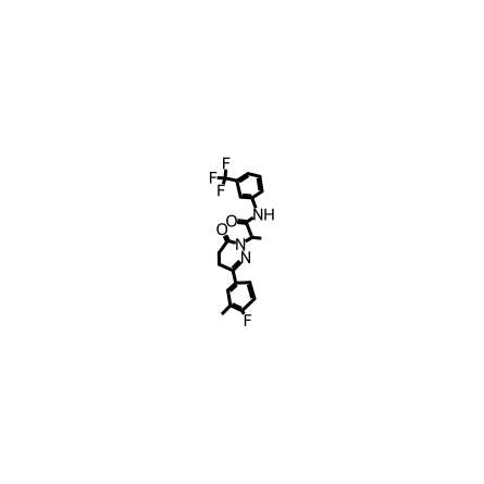 Cc1cc(C2=NN(C(C)C(=O)Nc3cccc(C(F)(F)F)c3)C(=O)CC2)ccc1F